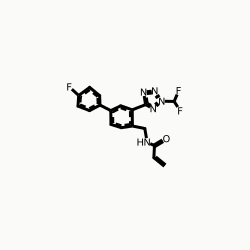 C=CC(=O)NCc1ccc(-c2ccc(F)cc2)cc1-c1nnn(C(F)F)n1